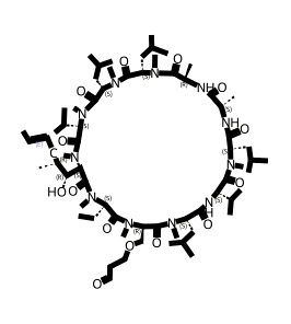 C/C=C/C[C@@H](C)[C@@H](O)[C@H]1C(=O)N(C)[C@@H](CC)C(=O)N(C)[C@H](COCCC=O)C(=O)N(C)[C@@H](CC(C)C)C(=O)N[C@@H](C(C)C)C(=O)N(C)[C@@H](CC(C)C)C(=O)N[C@@H](C)C(=O)N[C@H](C)C(=O)N(C)[C@@H](CC(C)C)C(=O)N(C)[C@@H](CC(C)C)C(=O)N(C)[C@@H](C(C)C)C(=O)N1C